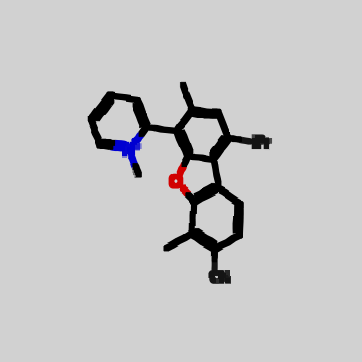 Cc1cc(C(C)C)c2c(oc3c(C)c(C#N)ccc32)c1-c1cccc[n+]1C